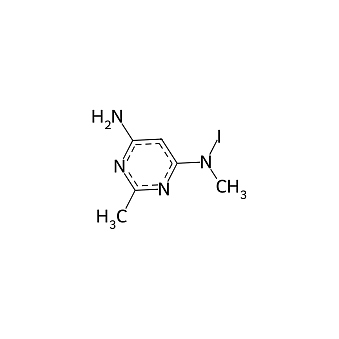 Cc1nc(N)cc(N(C)I)n1